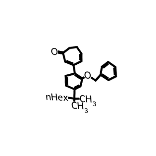 CCCCCCC(C)(C)c1ccc(C2=CC(=O)CCC=C2)c(OCc2ccccc2)c1